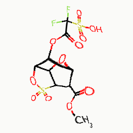 COC(=O)C1C2OC3C(OS(=O)(=O)C31)C2OC(=O)C(F)(F)S(=O)(=O)O